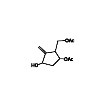 C=C1C(O)CC(OC(C)=O)C1COC(C)=O